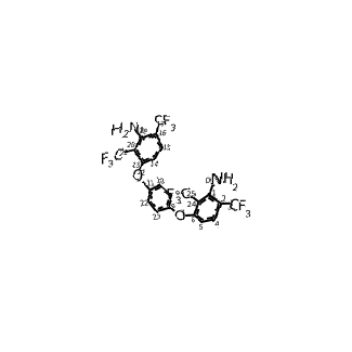 Nc1c(C(F)(F)F)ccc(Oc2ccc(Oc3ccc(C(F)(F)F)c(N)c3C(F)(F)F)cc2)c1C(F)(F)F